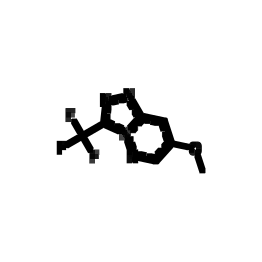 COc1cnn2c(C(F)(F)F)nnc2c1